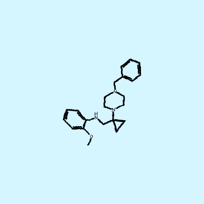 COc1ccccc1NCC1(N2CCN(Cc3ccccc3)CC2)CC1